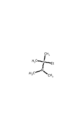 CC[Si](C)(C)N(C)C